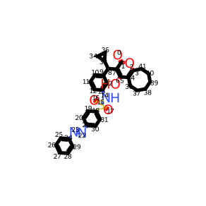 O=c1oc2c(c(O)c1C(c1cccc(NS(=O)(=O)c3ccc(N=Nc4ccccc4)cc3)c1)C1CC1)CCCCCC2